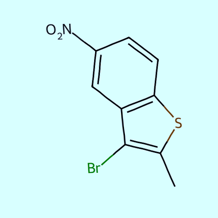 Cc1sc2ccc([N+](=O)[O-])cc2c1Br